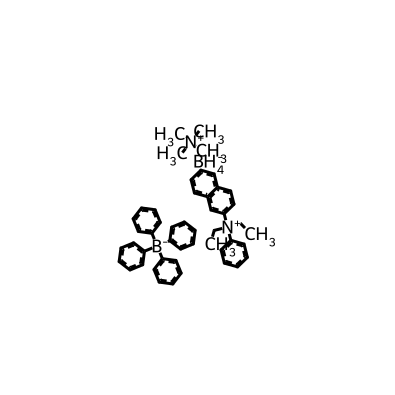 CC[N+](CC)(c1ccccc1)c1ccc2ccccc2c1.C[N+](C)(C)C.[BH4-].c1ccc([B-](c2ccccc2)(c2ccccc2)c2ccccc2)cc1